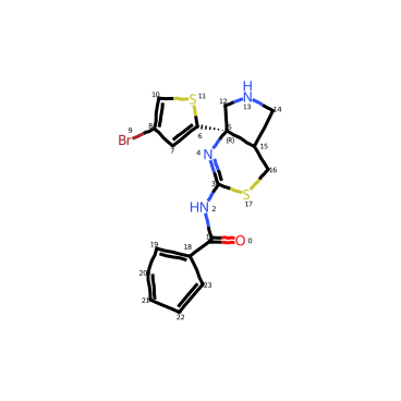 O=C(NC1=N[C@@]2(c3cc(Br)cs3)CNCC2CS1)c1ccccc1